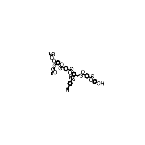 C=CC(=O)OCOc1ccc(OC(=O)C2CCC(C(=O)Oc3ccc(CCOC(=O)C4CCC(C(=O)Oc5ccc(O)cc5)CC4)c4sc(-c5ccc(C#N)cc5)nc34)CC2)cc1OCOC(=O)C=C